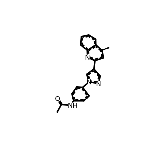 CC(=O)Nc1ccc(-n2cc(-c3cc(C)c4ccccc4n3)cn2)cc1